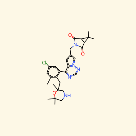 Cc1cc(Cl)cc(-c2ncnn3cc(CN4C(=O)C5C(C4=O)C5(C)C)cc23)c1CC1(C)CNCC(C)(C)O1